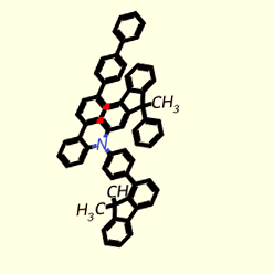 CC1(C)c2ccccc2-c2cccc(-c3ccc(N(c4ccc5c(c4)C(C)(c4ccccc4)c4ccccc4-5)c4ccccc4-c4ccc(-c5ccc(-c6ccccc6)cc5)cc4)cc3)c21